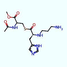 COC(=O)C(CSC(=O)[C@H](Cc1cnc[nH]1)NCCCN)NC(C)=O